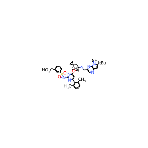 Cc1cccc(C)c1-c1cc(OC[C@@H](CC2(C)CC2)NCc2cnc3cc(C(C)(C)C)n(C)c3n2)nc(NS(=O)(=O)c2cccc(C(=O)O)c2)n1